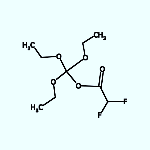 CCOC(OCC)(OCC)OC(=O)C(F)F